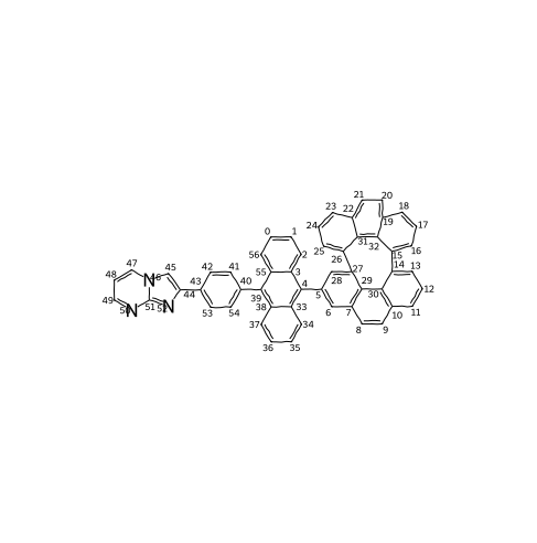 c1ccc2c(-c3cc4ccc5cccc6c7cccc8ccc9cccc(c(c3)c4c56)c9c87)c3ccccc3c(-c3ccc(-c4cn5cccnc5n4)cc3)c2c1